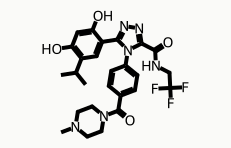 CC(C)c1cc(-c2nnc(C(=O)NCC(F)(F)F)n2-c2ccc(C(=O)N3CCN(C)CC3)cc2)c(O)cc1O